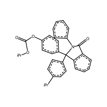 CC(C)OC(=O)Oc1ccc(C2(c3ccc(C(C)C)cc3)c3ccccc3C(=O)N2c2ccccc2)cc1